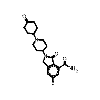 NC(=O)c1cc(F)cc2c1C(=O)N(C1CCN(C3CCC(=O)CC3)CC1)C2